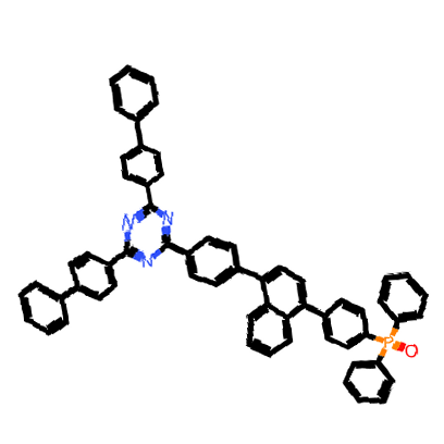 O=P(c1ccccc1)(c1ccccc1)c1ccc(-c2ccc(-c3ccc(-c4nc(-c5ccc(-c6ccccc6)cc5)nc(-c5ccc(-c6ccccc6)cc5)n4)cc3)c3ccccc23)cc1